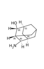 N[C@@H]1[C@@H]2CC3C[C@@H](C2)[C@@H](O)[C@@H]1C3